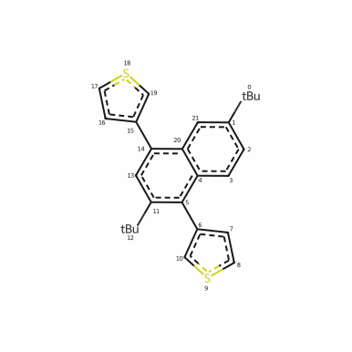 CC(C)(C)c1ccc2c(-c3ccsc3)c(C(C)(C)C)cc(-c3ccsc3)c2c1